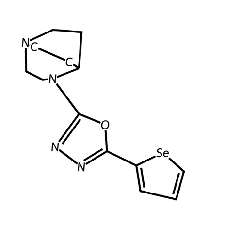 c1c[se]c(-c2nnc(N3CCN4CCC3CC4)o2)c1